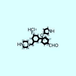 Cl.O=CC1=CC[C@](OC2CCNC2)(C2CC(F)CC(CN3CCNCC3)C2)C=C1